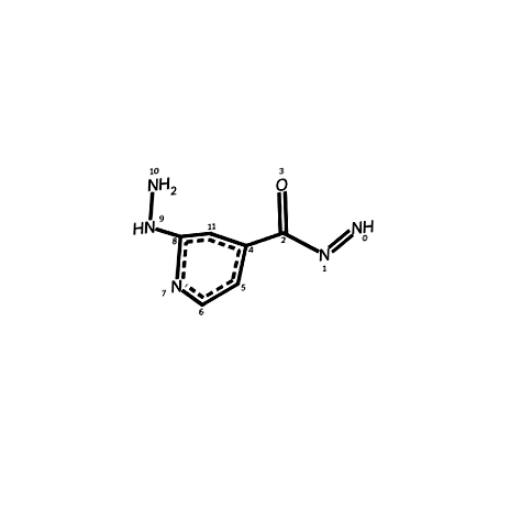 N=NC(=O)c1ccnc(NN)c1